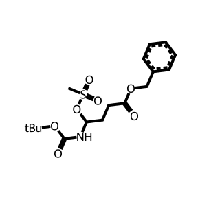 CC(C)(C)OC(=O)NC(CCC(=O)OCc1ccccc1)OS(C)(=O)=O